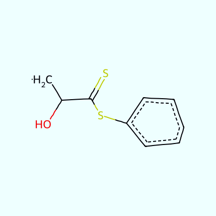 [CH2]C(O)C(=S)Sc1ccccc1